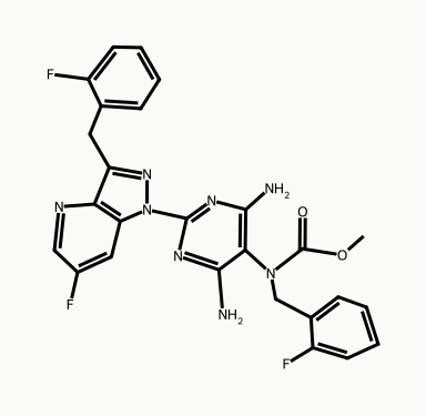 COC(=O)N(Cc1ccccc1F)c1c(N)nc(-n2nc(Cc3ccccc3F)c3ncc(F)cc32)nc1N